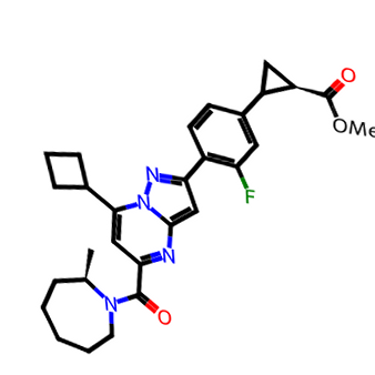 COC(=O)[C@@H]1CC1c1ccc(-c2cc3nc(C(=O)N4CCCCC[C@H]4C)cc(C4CCC4)n3n2)c(F)c1